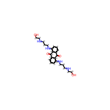 O=C1c2cccc(NCCCNCCO)c2C(=O)c2cccc(NCCCNCCO)c21